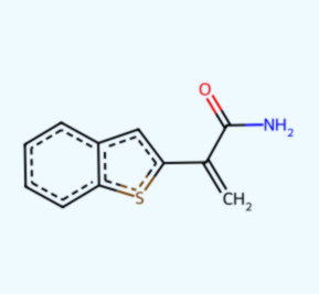 C=C(C(N)=O)c1cc2ccccc2s1